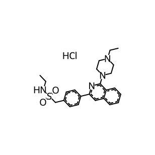 CCNS(=O)(=O)Cc1ccc(-c2cc3ccccc3c(N3CCN(CC)CC3)n2)cc1.Cl